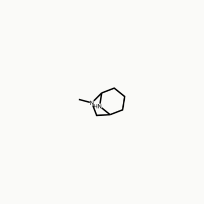 CN1CC2CCCC1N2